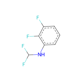 Fc1cccc(NC(F)F)c1F